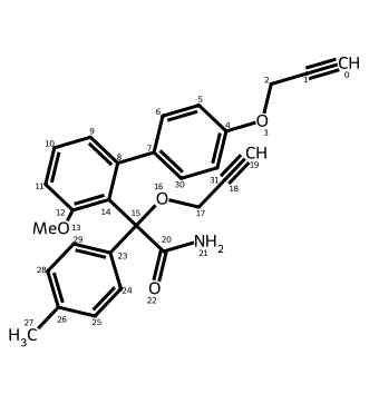 C#CCOc1ccc(-c2cccc(OC)c2C(OCC#C)(C(N)=O)c2ccc(C)cc2)cc1